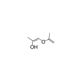 C=C(C)OC=C(C)O